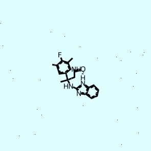 Cc1cc(C(C)(CC(N)=O)Nc2nc3ccccc3[nH]2)cc(C)c1F